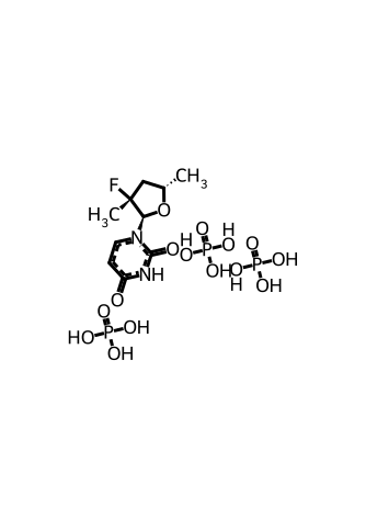 C[C@H]1C[C@@](C)(F)[C@H](n2ccc(=O)[nH]c2=O)O1.O=P(O)(O)O.O=P(O)(O)O.O=P(O)(O)O